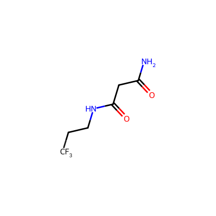 NC(=O)CC(=O)NCCC(F)(F)F